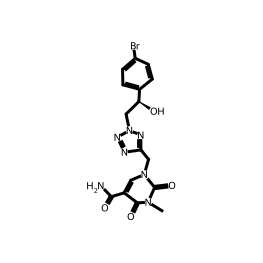 Cn1c(=O)c(C(N)=O)cn(Cc2nnn(C[C@H](O)c3ccc(Br)cc3)n2)c1=O